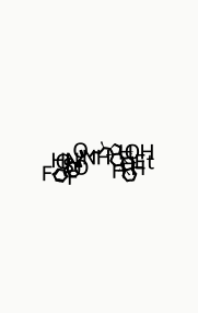 CC[C@H]1[C@@H](O)[C@@H]2[C@H](CC[C@]3(C)[C@@H]([C@H](C)CCNC(=O)C(=O)NS(=O)(=O)c4cc(F)ccc4F)CC[C@@H]23)[C@@]2(C)CCCC[C@@H]12